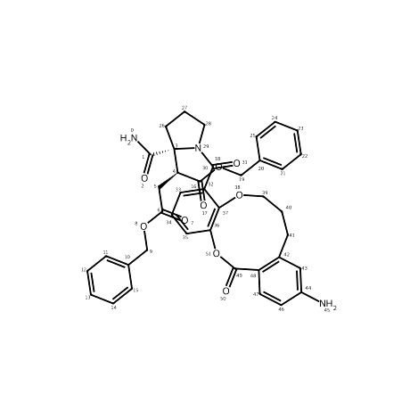 NC(=O)[C@]1([C@H](CC(=O)OCc2ccccc2)C(=O)OCc2ccccc2)CCCN1C(=O)c1cccc2c1OCCCc1cc(N)ccc1C(=O)O2